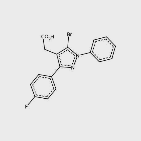 O=C(O)Cc1c(-c2ccc(F)cc2)nn(-c2ccccc2)c1Br